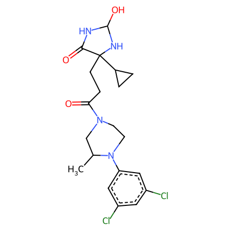 CC1CN(C(=O)CCC2(C3CC3)NC(O)NC2=O)CCN1c1cc(Cl)cc(Cl)c1